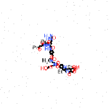 CCc1c2c(nc3ccc(OC(=O)N(CCOCCO)CCN(C)C(=O)OCc4ccc(NC(=O)[C@H](CCCNC(N)=O)NC(=O)[C@@H](NC(=O)CCC(=O)C(C)C)C(C)C)cc4)cc13)-c1cc3c(c(=O)n1C2)COC(=O)[C@]3(O)CC